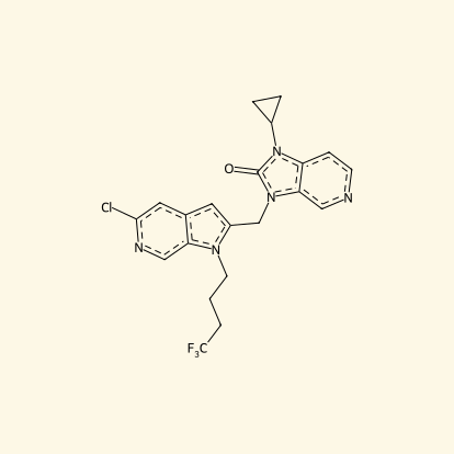 O=c1n(Cc2cc3cc(Cl)ncc3n2CCCC(F)(F)F)c2cnccc2n1C1CC1